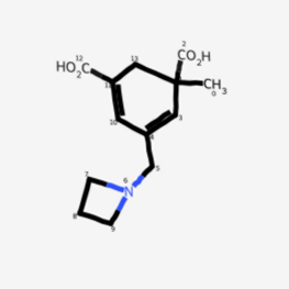 CC1(C(=O)O)C=C(CN2CCC2)C=C(C(=O)O)C1